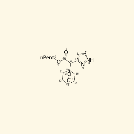 CCCCCOC(=O)C(c1cc[nH]n1)C12CCC(CC1)CO2